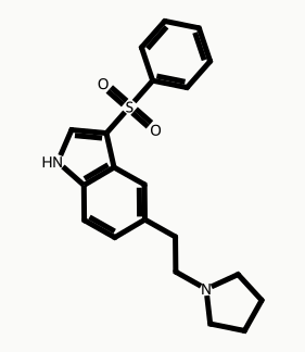 O=S(=O)(c1ccccc1)c1c[nH]c2ccc(CCN3CCCC3)cc12